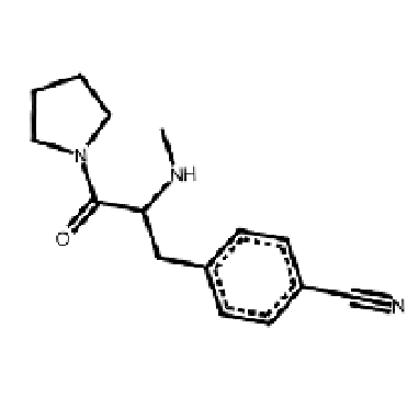 CNC(Cc1ccc(C#N)cc1)C(=O)N1CCCC1